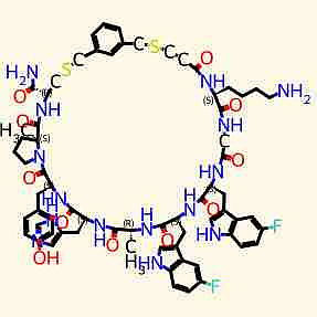 C[C@H]1NC(=O)[C@H](Cc2c[nH]c3ccc(F)cc23)NC(=O)[C@H](Cc2c[nH]c3ccc(F)cc23)NC(=O)CNC(=O)[C@H](CCCCN)NC(=O)CCSCc2cccc(c2)CSC[C@@H](C(N)=O)NC(=O)[C@]2(C)CCCN2C(=O)[C@H](Cc2ccc(O)cc2)NC(=O)[C@H](Cc2cnc[nH]2)NC1=O